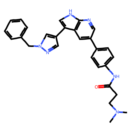 CN(C)CCC(=O)Nc1ccc(-c2cnc3[nH]cc(-c4cnn(Cc5ccccc5)c4)c3c2)cc1